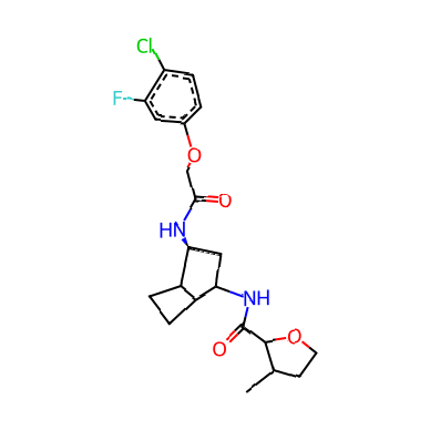 CC1CCOC1C(=O)NC1C[C@H](NC(=O)COc2ccc(Cl)c(F)c2)C2CCC12